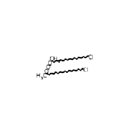 CC(CCC=CCCCCCCCCCCCCCl)OCOCOC(C)CCC=CCCCCCCCCCCCCCl